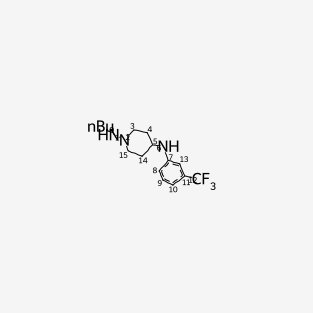 CCCCNN1CCC(Nc2cccc(C(F)(F)F)c2)CC1